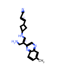 Cc1ccc2nc(/C(=C/NC3CC(/C=C/C#N)C3)CN)cnc2c1